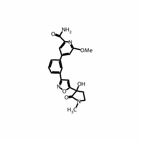 COc1cc(-c2cccc(-c3cc(C4(O)CCN(C)C4=O)on3)c2)cc(C(N)=O)n1